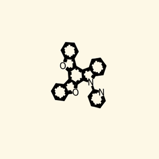 c1ccc(-n2c3ccccc3c3c4c5ccccc5oc4c4c5ccccc5oc4c32)nc1